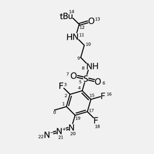 Cc1c(F)c(S(=O)(=O)NCCNC(=O)C(C)(C)C)c(F)c(F)c1N=[N+]=[N-]